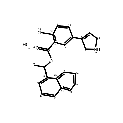 CC(NC(=O)c1cc(C2=CCNC2)ccc1Cl)c1cccc2ccccc12.Cl